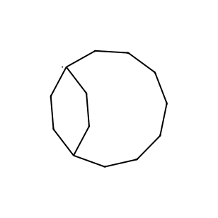 C1CCC[C]2CCC(CCC1)CC2